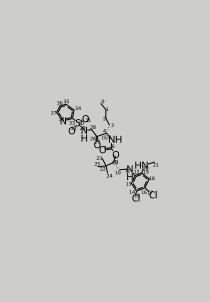 CCCC[C@H](NC(=O)O[C@H](CNc1cc(Cl)c(Cl)cc1NC)C(C)(C)C)C(=O)CNS(=O)(=O)c1ccccn1